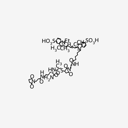 CCN1c2ccc(S(=O)(=O)O)cc2C(C)(C)C1/C=C/C=C/C=C1/N(CCCCCC(=O)NCCN2C(=O)CC(SC[C@@H](C)C(=O)N[C@H](CCCCNC(=O)CCN3C(=O)CCC3=O)C(N)=O)C2=O)c2ccc(S(=O)(=O)O)cc2C1(C)C